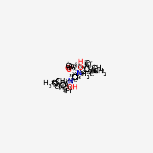 CC(=O)[O-].CC(=O)[O-].CC(C)c1cc([Si](C)(C)C)cc(C=Nc2ccc(N=Cc3cc([Si](C)(C)C)cc(C(C)C)c3O)cc2)c1O.[Co+2]